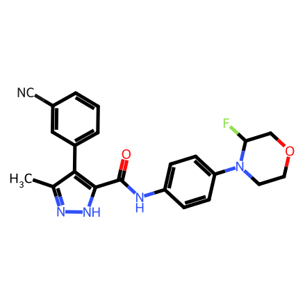 Cc1n[nH]c(C(=O)Nc2ccc(N3CCOCC3F)cc2)c1-c1cccc(C#N)c1